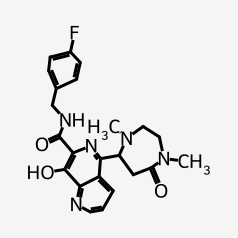 CN1CCN(C)C(c2nc(C(=O)NCc3ccc(F)cc3)c(O)c3ncccc23)CC1=O